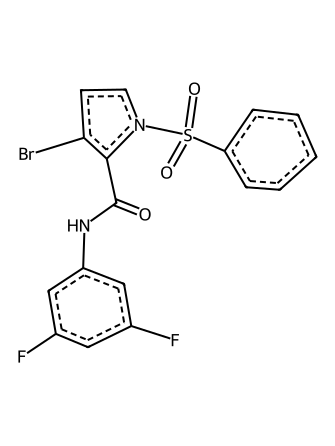 O=C(Nc1cc(F)cc(F)c1)c1c(Br)ccn1S(=O)(=O)c1ccccc1